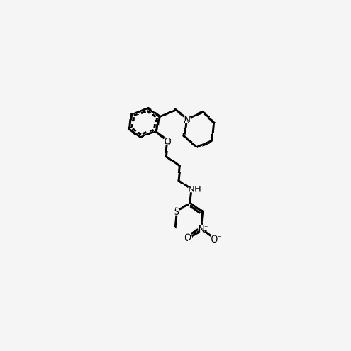 CSC(=C[N+](=O)[O-])NCCCOc1ccccc1CN1CCCCC1